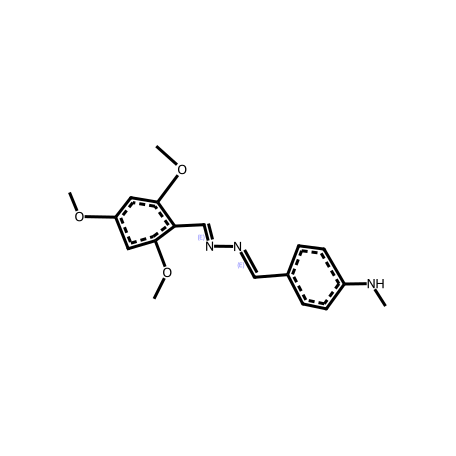 CNc1ccc(/C=N/N=C/c2c(OC)cc(OC)cc2OC)cc1